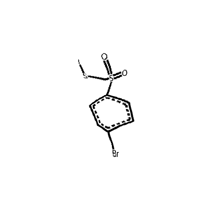 O=S(=O)(SI)c1ccc(Br)cc1